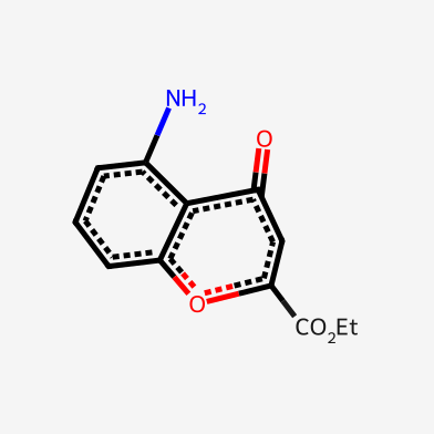 CCOC(=O)c1cc(=O)c2c(N)cccc2o1